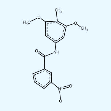 COc1cc(NC(=O)c2cccc([N+](=O)[O-])c2)cc(OC)c1C